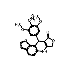 COc1cc(C2C3=C(COC3=O)Nc3ccc4ncsc4c32)cc(OC)c1OC